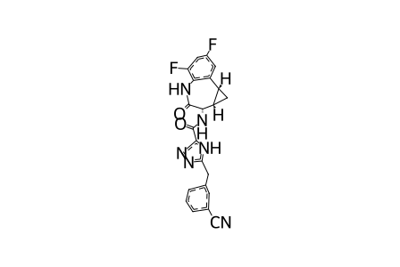 N#Cc1cccc(Cc2nnc(C(=O)N[C@@H]3C(=O)Nc4c(F)cc(F)cc4[C@@H]4C[C@H]34)[nH]2)c1